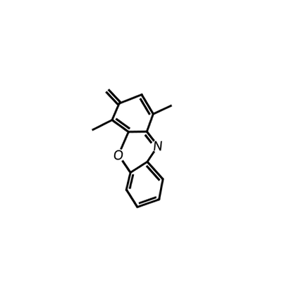 C=c1cc(C)c2c(c1C)Oc1ccccc1N=2